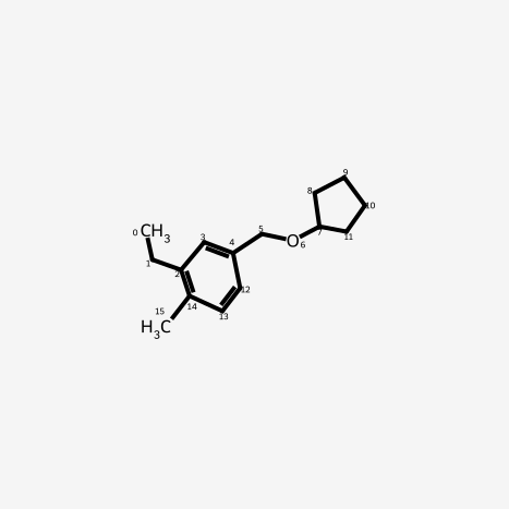 CCc1cc(COC2CCCC2)ccc1C